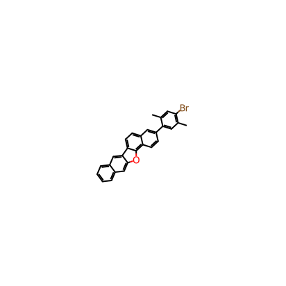 Cc1cc(-c2ccc3c(ccc4c5cc6ccccc6cc5oc34)c2)c(C)cc1Br